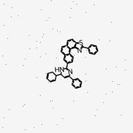 C1=CCC(C2C=C(c3ccccc3)N=C(c3ccc4c(ccc5ccc6sc(-c7ccccc7)nc6c54)c3)N2)C=C1